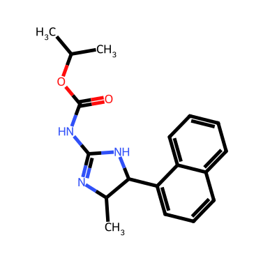 CC(C)OC(=O)NC1=NC(C)C(c2cccc3ccccc23)N1